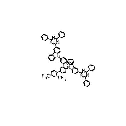 N#Cc1ccc(-n2c3ccccc3c3cc(-c4nc(-c5ccccc5)nc(-c5ccccc5)n4)ccc32)cc1-c1cc(-c2ccc(C(F)(F)F)cc2C(F)(F)F)ccc1-n1c2ccccc2c2cc(-c3nc(-c4ccccc4)nc(-c4ccccc4)n3)ccc21